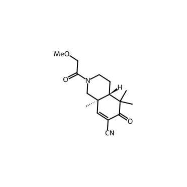 COCC(=O)N1CC[C@@H]2C(C)(C)C(=O)C(C#N)=C[C@@]2(C)C1